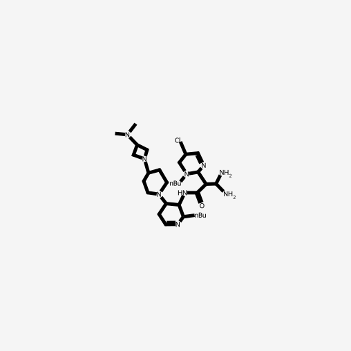 CCCCC1N=CCC(N2CCC(N3CC(N(C)C)C3)CC2)C1NC(=O)C(C(N)N)C1N=CC(Cl)CN1CCCC